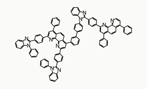 c1ccc(-c2ccnc3c2ccc2c(-c4ccccc4)cc(-c4ccc(-c5nc6ccccc6n5-c5ccc(-c6cccc(-c7cc(-c8ccc(-c9nc%10ccccc%10n9-c9ccccc9)cc8)nc8c7ccc7c(-c9ccccc9)cc(-c9ccc(-c%10nc%11ccccc%11n%10-c%10ccccc%10)cc9)nc78)c6)cc5)cc4)nc23)cc1